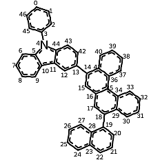 c1ccc(-n2c3ccccc3c3cc(-c4cc5cc(-c6cccc7ccccc67)c6ccccc6c5c5ccccc45)ccc32)cc1